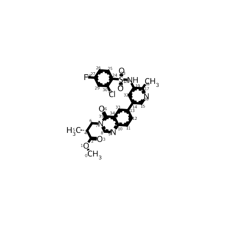 COC(=O)[C@H](C)Cn1cnc2ccc(-c3cnc(C)c(NS(=O)(=O)c4ccc(F)cc4Cl)c3)cc2c1=O